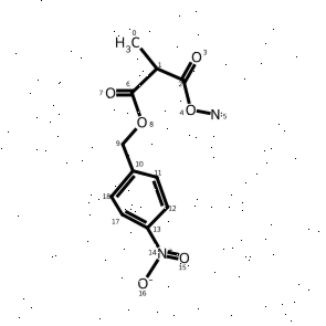 CC(C(=O)O[N])C(=O)OCc1ccc([N+](=O)[O-])cc1